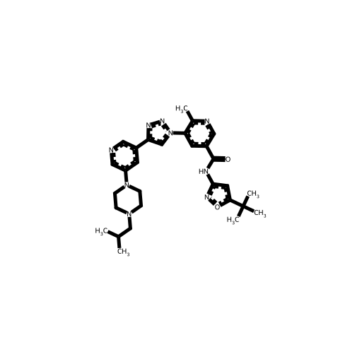 Cc1ncc(C(=O)Nc2cc(C(C)(C)C)on2)cc1-n1cc(-c2cncc(N3CCN(CC(C)C)CC3)c2)nn1